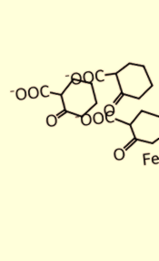 O=C([O-])C1CCCCC1=O.O=C([O-])C1CCCCC1=O.O=C([O-])C1CCCCC1=O.[Fe+3]